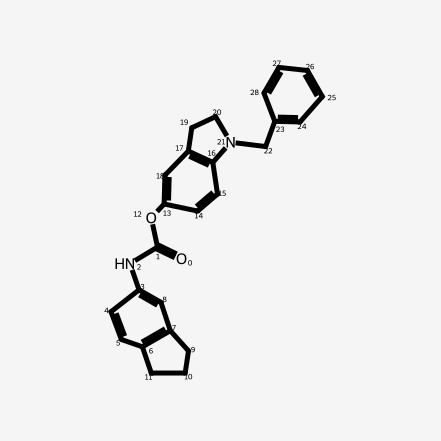 O=C(Nc1ccc2c(c1)CCC2)Oc1ccc2c(c1)CCN2Cc1ccccc1